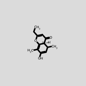 CCC1=CC(=O)[C@@H]2C(=C(C)C(O)=CC2C)O1